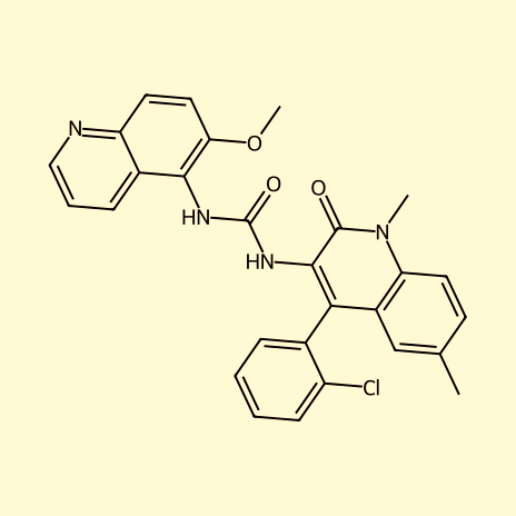 COc1ccc2ncccc2c1NC(=O)Nc1c(-c2ccccc2Cl)c2cc(C)ccc2n(C)c1=O